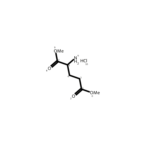 COC(=O)CCC(N)C(=O)OC.Cl